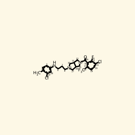 Cc1ccc(NCCCN2CC3CN(C(=O)c4c(C(F)(F)F)ccc(Cl)c4F)CC3C2)cc1Cl